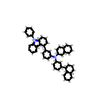 c1ccc(-n2c3ccccc3c3c(-c4cccc(N(c5cccc(-c6cccc7ccccc67)c5)c5ccc6ccccc6c5)c4)cccc32)cc1